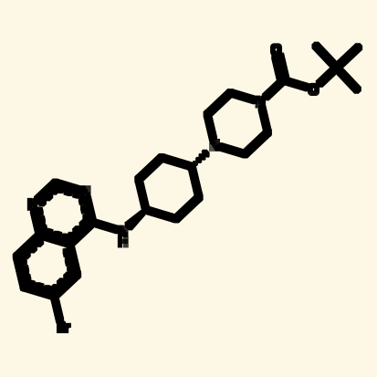 CC(C)(C)OC(=O)N1CCN([C@H]2CC[C@H](Nc3ncnc4ccc(Br)cc34)CC2)CC1